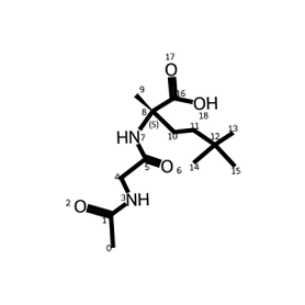 CC(=O)NCC(=O)N[C@@](C)(CCC(C)(C)C)C(=O)O